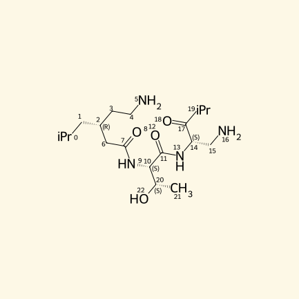 CC(C)C[C@H](CCN)CC(=O)N[C@H](C(=O)N[C@@H](CN)C(=O)C(C)C)[C@H](C)O